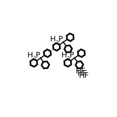 F.F.F.PC(c1ccccc1)(c1ccccc1)c1ccccc1.PC(c1ccccc1)(c1ccccc1)c1ccccc1.PC(c1ccccc1)(c1ccccc1)c1ccccc1